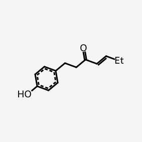 CCC=CC(=O)CCc1ccc(O)cc1